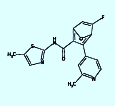 Cc1cc(-c2c(C(=O)Nc3ncc(C)s3)c3cc(F)c2o3)ccn1